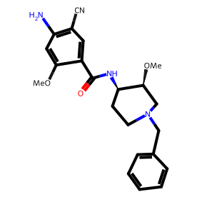 COc1cc(N)c(C#N)cc1C(=O)N[C@@H]1CCN(Cc2ccccc2)C[C@@H]1OC